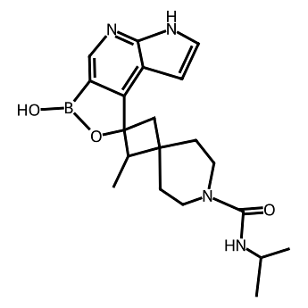 CC(C)NC(=O)N1CCC2(CC1)CC1(OB(O)c3cnc4[nH]ccc4c31)C2C